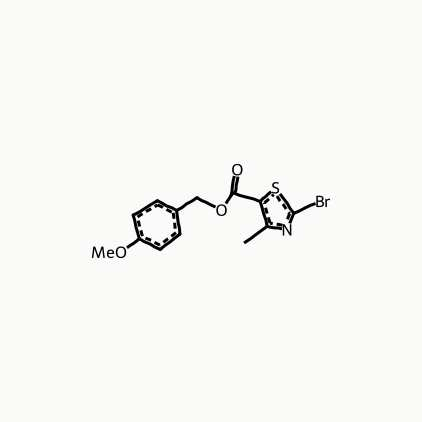 COc1ccc(COC(=O)c2sc(Br)nc2C)cc1